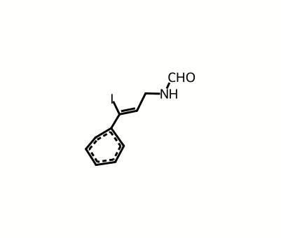 O=CNCC=C(I)c1ccccc1